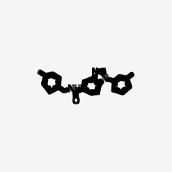 Cc1ccc(CNC(=O)c2ccc3c(c2)ncn3-c2cccc(C)c2)cc1